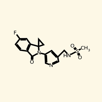 CS(=O)(=O)NCc1cncc(N2C(=O)c3ccc(F)cc3C23CC3)c1